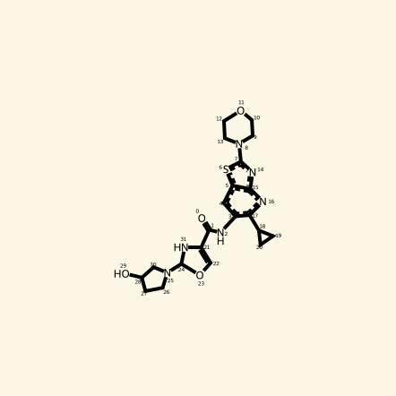 O=C(Nc1cc2sc(N3CCOCC3)nc2nc1C1CC1)C1=COC(N2CCC(O)C2)N1